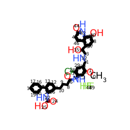 COc1cc(NC(=O)CCCc2ccc(-c3ccccc3)c(NC(=O)O)c2)c(Cl)cc1CNC[C@@H](O)c1ccc(O)c2[nH]c(=O)ccc12.F.F